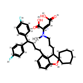 CN(CCCC1c2c(CCCC(c3ccc(F)cc3)c3ccc(F)cc3)cccc2OC12CCCCCC2)/C(=C/C(=O)O)C(=O)O